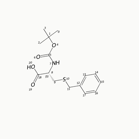 CC(C)(C)OC(=O)N[C@H](CSCc1ccccc1)C(=O)O